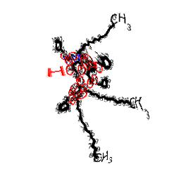 CCCCCCCCCCCCCC(=O)N[C@H]1[C@@H](OC(CC(=O)OCc2ccccc2)CC(=O)OCc2ccccc2)O[C@H](COC(=O)[C@H](OC(=O)CCCCCCCCCCCCC)[C@@H](OC(=O)CCCCCCCCCCCCC)C(=O)OCc2ccccc2)[C@@H](O)[C@@H]1OC(=O)OCc1ccccc1